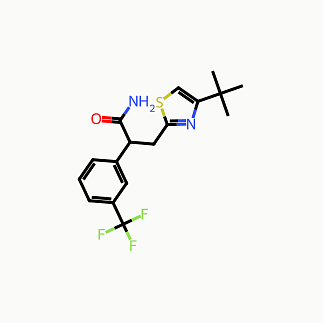 CC(C)(C)c1csc(CC(C(N)=O)c2cccc(C(F)(F)F)c2)n1